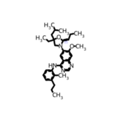 CC/C=C1\OC(CC)(CC(C)C)CN1c1cc2c(Nc3cccc(CCC)c3C)ncnc2cc1OC